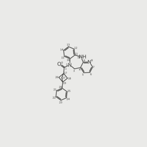 O=C(N1Cc2cccnc2Nc2ccccc21)C12CC(c3ccccc3)(C1)C2